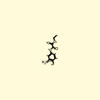 CCOC(=O)C(Cl)Oc1ccc(F)c(N)c1